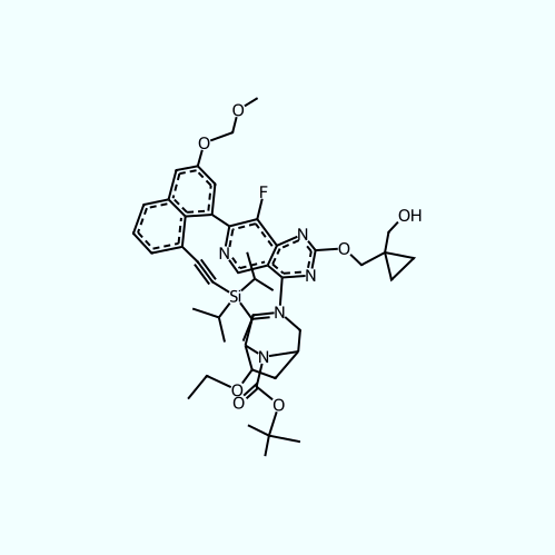 CCOC1CC2CN(c3nc(OCC4(CO)CC4)nc4c(F)c(-c5cc(OCOC)cc6cccc(C#C[Si](C(C)C)(C(C)C)C(C)C)c56)ncc34)CC1N2C(=O)OC(C)(C)C